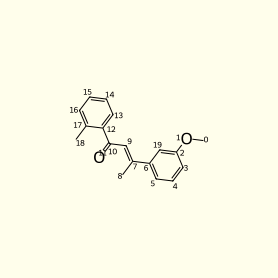 COc1cccc(/C(C)=C/C(=O)c2ccccc2C)c1